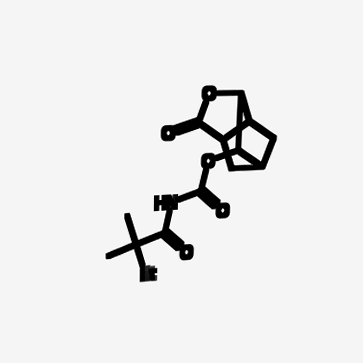 CCC(C)(C)C(=O)NC(=O)OC1C2CC3C(=O)OC1C3C2